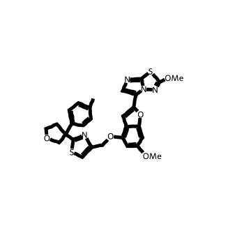 COc1cc(OCc2csc(C3(c4ccc(C)cc4)CCOC3)n2)c2cc(-c3cnc4sc(OC)nn34)oc2c1